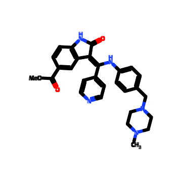 COC(=O)c1ccc2c(c1)/C(=C(/Nc1ccc(CN3CCN(C)CC3)cc1)c1ccncc1)C(=O)N2